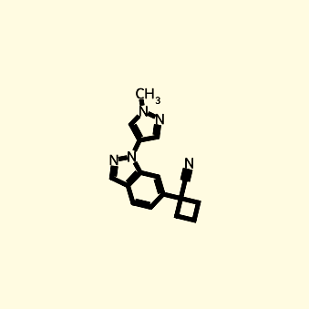 Cn1cc(-n2ncc3ccc(C4(C#N)CCC4)cc32)cn1